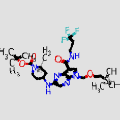 C[C@@H]1CC(Nc2cnc3c(n2)c(C(=O)NCCC(F)(F)F)cn3COCC[Si](C)(C)C)CCN1C(=O)OC(C)(C)C